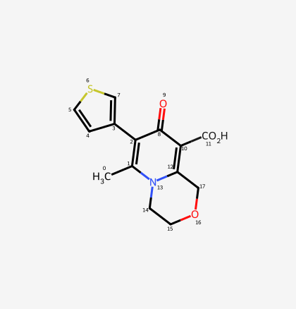 Cc1c(-c2ccsc2)c(=O)c(C(=O)O)c2n1CCOC2